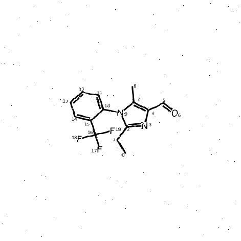 CCc1nc(C=O)c(C)n1-c1ccccc1C(F)(F)F